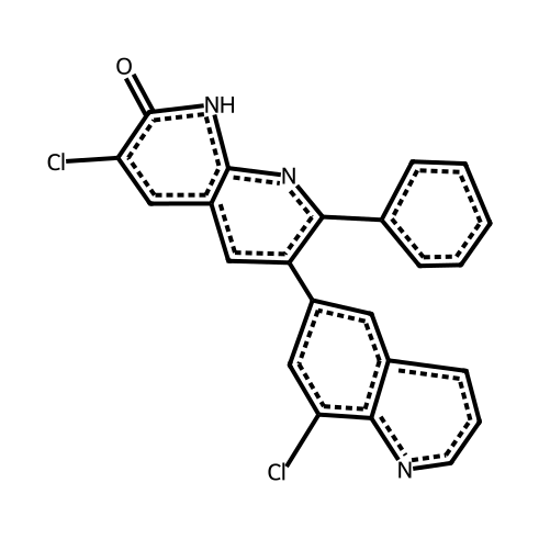 O=c1[nH]c2nc(-c3ccccc3)c(-c3cc(Cl)c4ncccc4c3)cc2cc1Cl